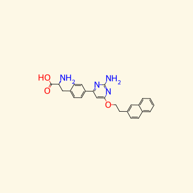 Nc1nc(OCCc2ccc3ccccc3c2)cc(-c2ccc(C[C@H](N)C(=O)O)cc2)n1